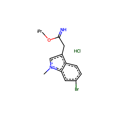 CC(C)OC(=N)Cc1cn(C)c2cc(Br)ccc12.Cl